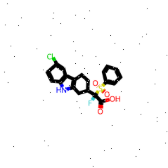 O=C(O)C(F)(C1CCc2c([nH]c3ccc(Cl)cc23)C1)S(=O)(=O)c1ccccc1